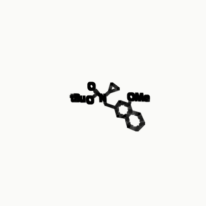 COc1cc(CN(C(=O)OC(C)(C)C)C2CC2)cc2ccccc12